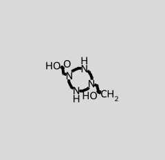 C=C(O)CN1CCNCCN(CC(=O)O)CCNCC1